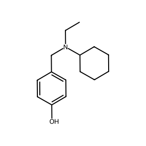 CCN(Cc1ccc(O)cc1)C1CCCCC1